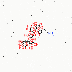 CC(=O)NC1C(OC2C(O)C(CO)OC(OC3C(CO)OC(OC4C(COc5ccccc5)OC(OCCCCCN)C(O)C4O)C(O)C3O)C2O)OC(CO)C(O)C1OC1OC(CO)C(O)C(O)C1O